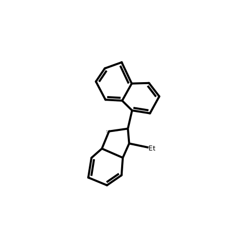 CCC1C(c2cccc3ccccc23)[C]C2C=CC=CC21